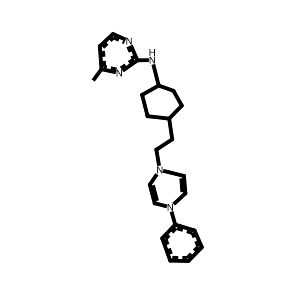 Cc1ccnc(NC2CCC(CCN3C=CN(c4ccccc4)C=C3)CC2)n1